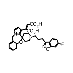 O=C(O)C=C(C(=O)O)c1ccn2c1C1(CCN(CCCc3noc4cc(F)ccc34)CC1)Oc1ccccc1C2